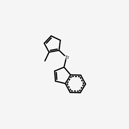 CC1=[C]([Zr][CH]2C=Cc3ccccc32)CC=C1